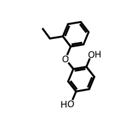 CCc1ccccc1Oc1cc(O)ccc1O